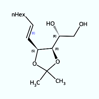 CCCCCC/C=C/[C@@H]1OC(C)(C)O[C@@H]1[C@H](O)CO